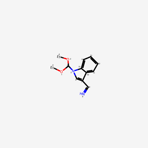 CCOC(OCC)n1cc(C=N)c2ccccc21